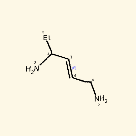 CCC(N)/C=C/CN